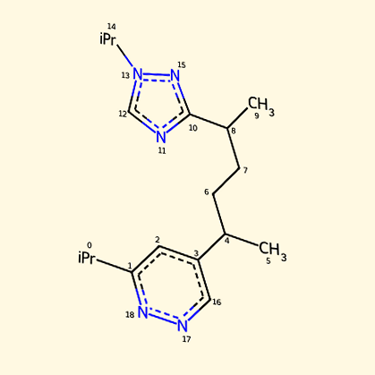 CC(C)c1cc(C(C)CCC(C)c2ncn(C(C)C)n2)cnn1